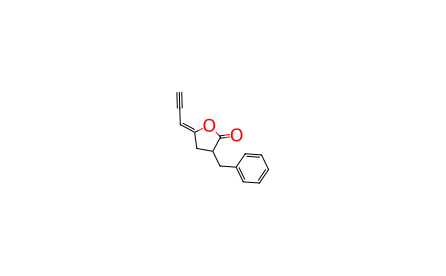 C#CC=C1CC(Cc2ccccc2)C(=O)O1